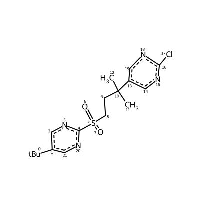 CC(C)(C)c1cnc(S(=O)(=O)CCC(C)(C)c2cnc(Cl)nc2)nc1